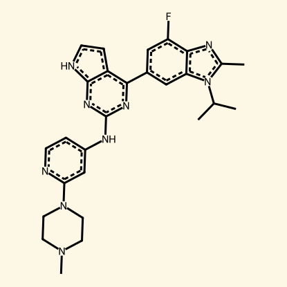 Cc1nc2c(F)cc(-c3nc(Nc4ccnc(N5CCN(C)CC5)c4)nc4[nH]ccc34)cc2n1C(C)C